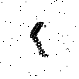 CCC[C@H]1CC[C@H](CC[C@H]2CC[C@H](c3ccc(C(=O)C(F)(F)C(F)(F)C(F)(F)C(F)(F)C(F)(F)C(F)(F)C(F)(F)C(F)(F)F)cc3)CC2)CC1